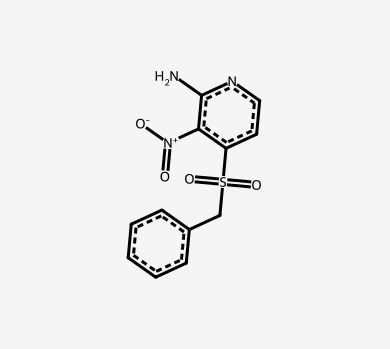 Nc1nccc(S(=O)(=O)Cc2ccccc2)c1[N+](=O)[O-]